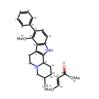 CCC1CN2CCc3c([nH]c4ccc(-c5ccccc5)c(OC)c34)C2C[C@@H]1/C(=C\OC)C(=O)OC